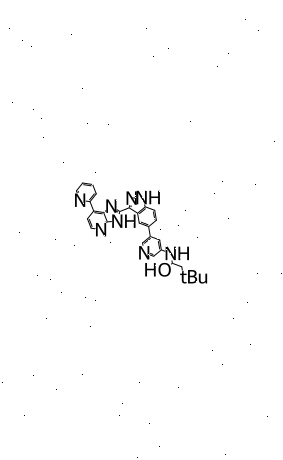 CC(C)(C)CC(O)Nc1cncc(-c2ccc3[nH]nc(-c4nc5c(-c6ccccn6)ccnc5[nH]4)c3c2)c1